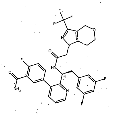 NC(=O)c1cc(-c2cccnc2[C@H](Cc2cc(F)cc(F)c2)NC(=O)Cn2nc(C(F)(F)F)c3c2CCOC3)ccc1F